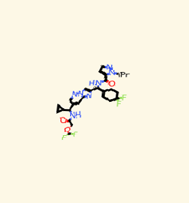 CC(C)n1nccc1C(=O)N[C@H](c1cn2ncc(C(NC(=O)COC(F)F)C3CC3)cc2n1)C1CCC(F)(F)CC1